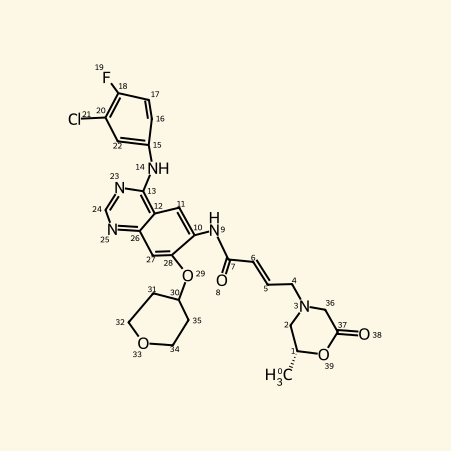 C[C@@H]1CN(CC=CC(=O)Nc2cc3c(Nc4ccc(F)c(Cl)c4)ncnc3cc2OC2CCOCC2)CC(=O)O1